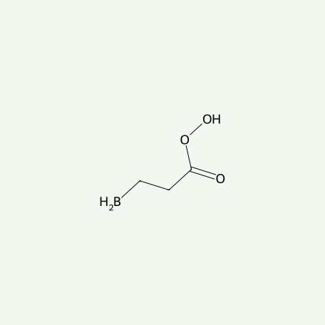 BCCC(=O)OO